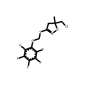 CC1(CCl)CC(SCOc2c(F)c(F)c(F)c(F)c2F)=NO1